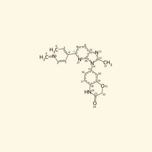 C=N/C=C\C(=C/C)c1ccc2nc(C)n(-c3ccc4c(c3)OCC(=O)N4)c2n1